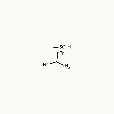 CCCC(N)C#N.CS(=O)(=O)O